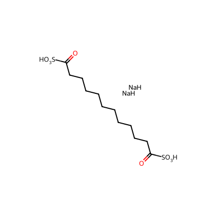 O=C(CCCCCCCCCCC(=O)S(=O)(=O)O)S(=O)(=O)O.[NaH].[NaH]